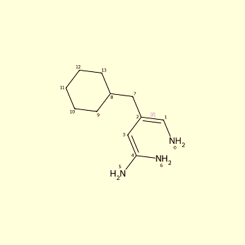 N/C=C(\C=C(N)N)CC1CCCCC1